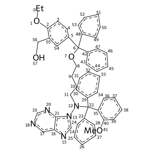 CCOc1ccc(C(OCCCCN(n2cnc3cncnc32)C(c2ccccc2)(c2ccccc2)c2ccccc2OC)(c2ccccc2)c2ccccc2)cc1CO